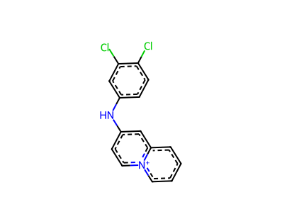 Clc1ccc(Nc2cc[n+]3ccccc3c2)cc1Cl